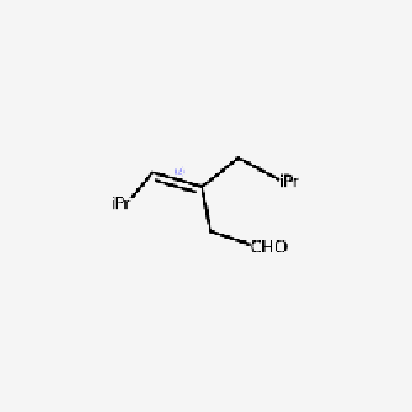 CC(C)/C=C(\CC=O)CC(C)C